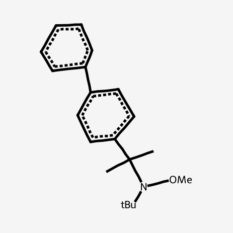 CON(C(C)(C)C)C(C)(C)c1ccc(-c2ccccc2)cc1